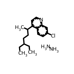 CCC(CC)CCC(C)c1ccnc2cc(Cl)ccc12.N.N